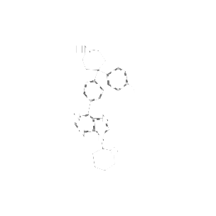 Clc1ccc(C2(c3ccc(-c4ncnc5c4ncn5C4CCCCO4)cc3)CCNCC2)cc1